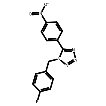 O=[N+]([O-])c1ccc(-c2nnnn2Cc2ccc(F)cc2)cc1